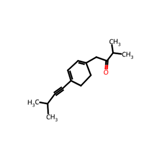 CC(C)C#CC1=CC=C(CC(=O)C(C)C)CC1